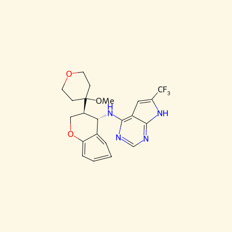 COC1([C@@H]2COc3ccccc3[C@H]2Nc2ncnc3[nH]c(C(F)(F)F)cc23)CCOCC1